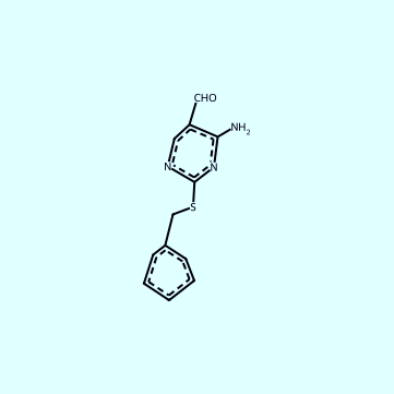 Nc1nc(SCc2ccccc2)ncc1C=O